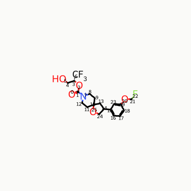 O=C(O[C@H](CO)C(F)(F)F)N1CCC2(CC1)CC(c1cccc(OCF)c1)CO2